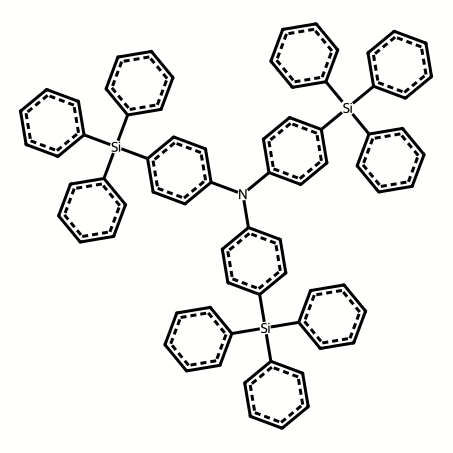 c1ccc([Si](c2ccccc2)(c2ccccc2)c2ccc(N(c3ccc([Si](c4ccccc4)(c4ccccc4)c4ccccc4)cc3)c3ccc([Si](c4ccccc4)(c4ccccc4)c4ccccc4)cc3)cc2)cc1